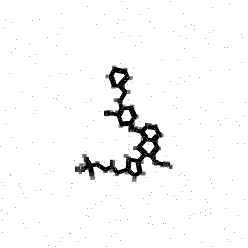 COc1cc2ncnc(Nc3ccc(OCc4ccccc4)c(Cl)c3)c2cc1-c1csc(CNCCS(C)(=O)=O)n1